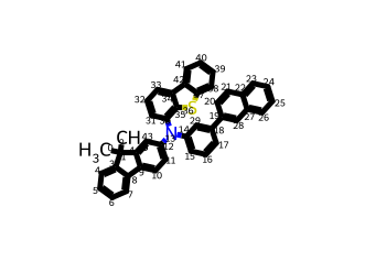 CC1(C)c2ccccc2-c2ccc(N(c3cccc(-c4ccc5ccccc5c4)c3)c3cccc4c3sc3ccccc34)cc21